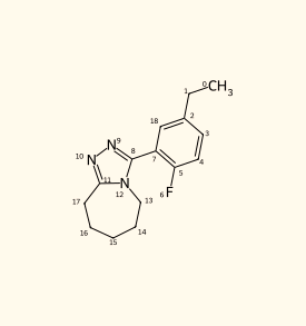 CCc1ccc(F)c(-c2nnc3n2CCCCC3)c1